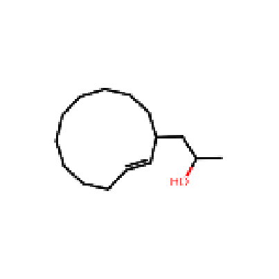 CC(O)CC1/C=C/CCCCCCCCC1